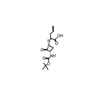 C=CCC(=NN1C[C@H](NC(=O)OC(C)(C)C)C1=O)C(=O)O